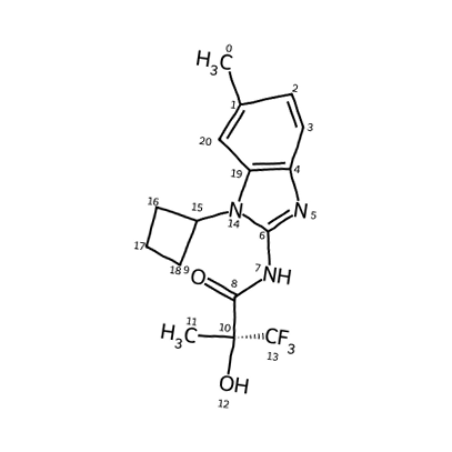 Cc1ccc2nc(NC(=O)[C@](C)(O)C(F)(F)F)n(C3CCC3)c2c1